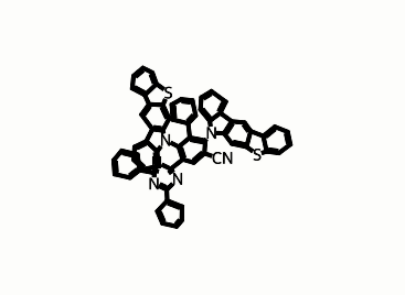 N#Cc1cc(-c2nc(-c3ccccc3)nc(-c3ccccc3)n2)c(-n2c3ccccc3c3cc4c(cc32)sc2ccccc24)c(-c2ccccc2)c1-n1c2ccccc2c2cc3c(cc21)sc1ccccc13